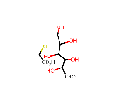 O=C(O)CS.O=CC(O)C(O)C(O)C(O)CO